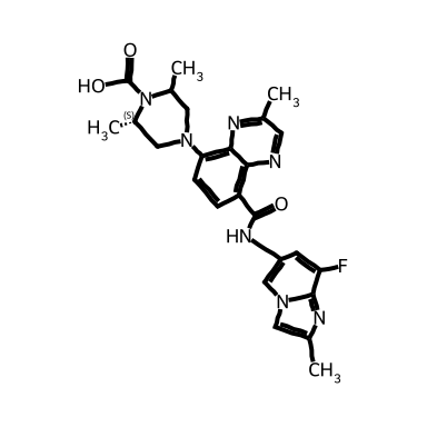 Cc1cnc2c(C(=O)Nc3cc(F)c4nc(C)cn4c3)ccc(N3CC(C)N(C(=O)O)[C@@H](C)C3)c2n1